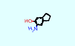 Nc1cc2c(cc1O)CCC2